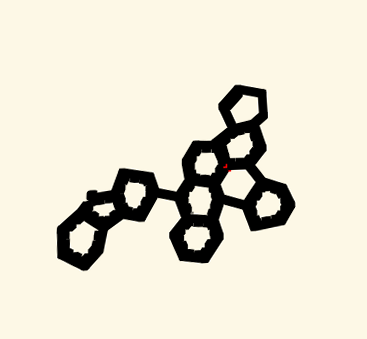 C1=Cc2ccc(-c3ccccc3-c3c4ccccc4c(-c4ccc5sc6ccccc6c5c4)c4ccccc34)cc2CC1